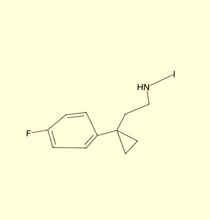 Fc1ccc(C2(CCNI)CC2)cc1